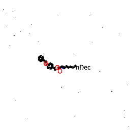 CCCCCCCCCCCCCCC/C=C/C(=O)OC(C)c1ccc(OCc2ccccc2)cc1